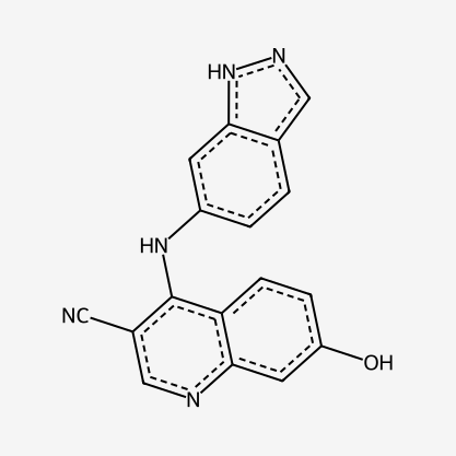 N#Cc1cnc2cc(O)ccc2c1Nc1ccc2cn[nH]c2c1